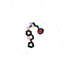 c1ccc(C2CCc3cc(Oc4ncc(CN5CC6CCC(CC6)C5)s4)ccc3O2)cc1